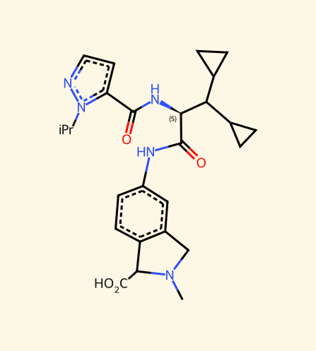 CC(C)n1nccc1C(=O)N[C@H](C(=O)Nc1ccc2c(c1)CN(C)C2C(=O)O)C(C1CC1)C1CC1